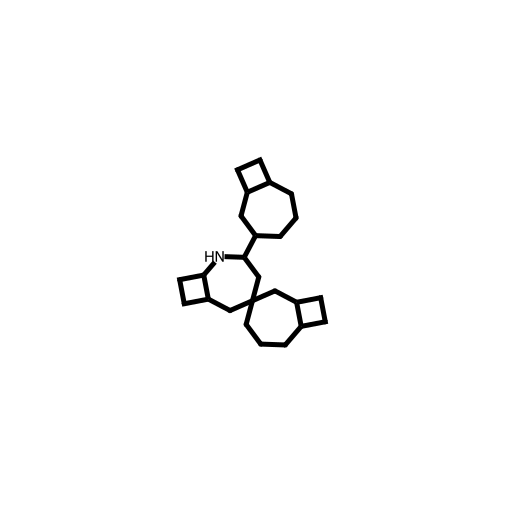 C1CC2CCC2CC(C2CC3(CCCC4CCC4C3)CC3CCC3N2)C1